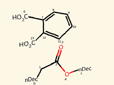 CCCCCCCCCCCC(=O)OCCCCCCCCCC.O=C(O)c1ccccc1C(=O)O